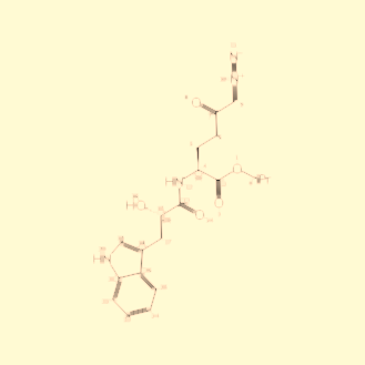 CC(C)OC(=O)[C@H](CCC(=O)C=[N+]=[N-])NC(=O)[C@@H](O)Cc1c[nH]c2ccccc12